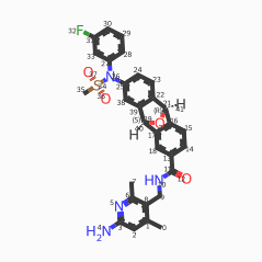 Cc1cc(N)nc(C)c1CNC(=O)c1ccc2c(c1)[C@@H]1O[C@H]2c2ccc(N(c3cccc(F)c3)S(C)(=O)=O)cc21